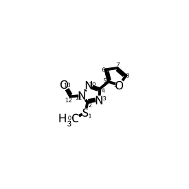 CSc1nc(-c2ccco2)nn1C=O